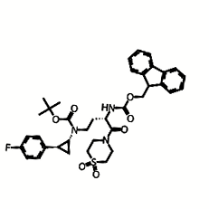 CC(C)(C)OC(=O)N(CC[C@H](NC(=O)OCC1c2ccccc2-c2ccccc21)C(=O)N1CCS(=O)(=O)CC1)[C@@H]1C[C@H]1c1ccc(F)cc1